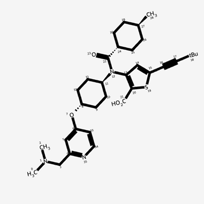 CN(C)Cc1cc(O[C@H]2CC[C@H](N(c3cc(C#CC(C)(C)C)sc3C(=O)O)C(=O)[C@H]3CC[C@H](C)CC3)CC2)ccn1